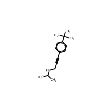 CC(C)NCC#Cc1ccc(C(C)(C)C)cc1